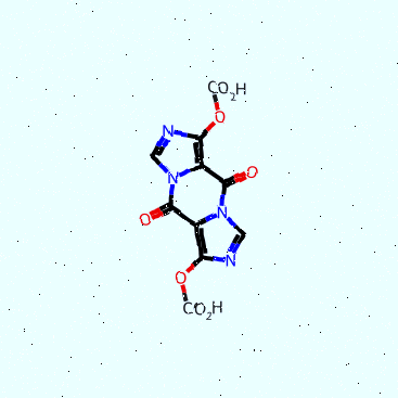 O=C(O)Oc1ncn2c(=O)c3c(OC(=O)O)ncn3c(=O)c12